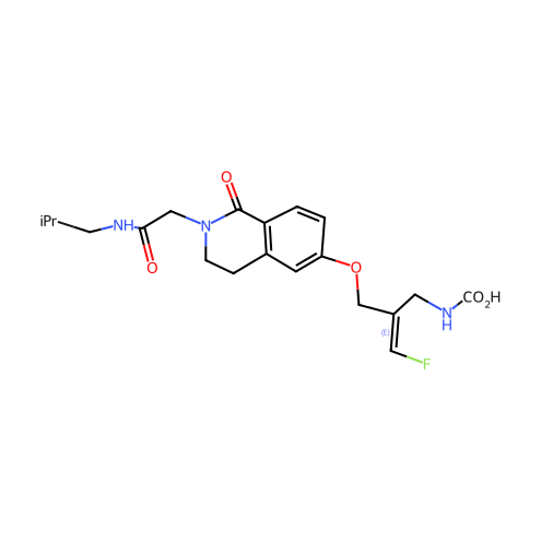 CC(C)CNC(=O)CN1CCc2cc(OC/C(=C/F)CNC(=O)O)ccc2C1=O